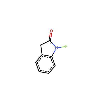 O=C1Cc2ccccc2N1F